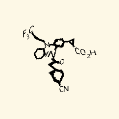 N#Cc1ccc(CC(=O)Nc2cc(C3CC3C(=O)O)ccc2N(CCC(F)(F)F)C2CCCCC2)cc1